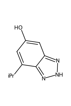 CC(C)c1cc(O)cc2n[nH]nc12